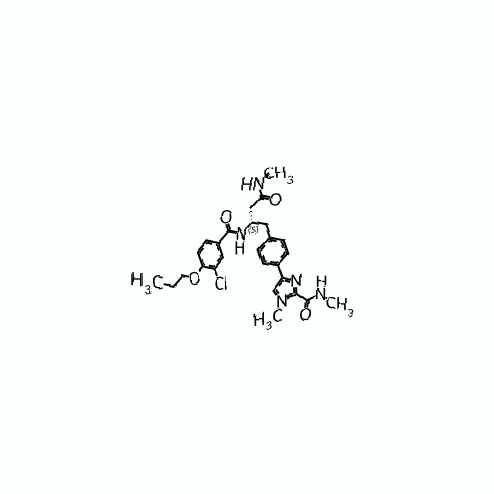 CCCOc1ccc(C(=O)N[C@H](CC(=O)NC)Cc2ccc(-c3cn(C)c(C(=O)NC)n3)cc2)cc1Cl